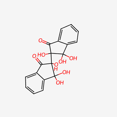 O=C1c2ccccc2C(O)(O)C1(O)C1(O)C(=O)c2ccccc2C1(O)O